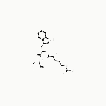 NC(=O)NCCC[C@H](N)C(=O)N[C@H](Cc1c[nH]c2ccccc12)C(=O)N[C@@H](CS)C(=O)O